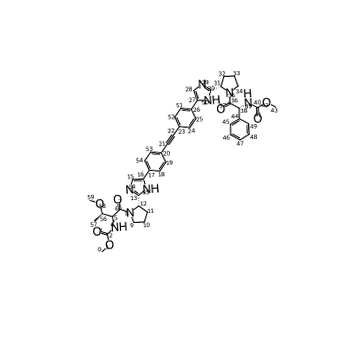 COC(=O)N[C@H](C(=O)N1CCC[C@H]1c1ncc(-c2ccc(C#Cc3ccc(-c4cnc([C@@H]5CCCN5C(=O)[C@H](NC(=O)OC)c5ccccc5)[nH]4)cc3)cc2)[nH]1)[C@@H](C)OC